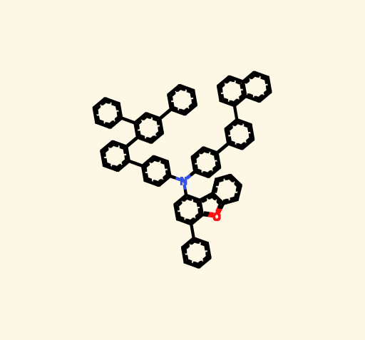 c1ccc(-c2ccc(-c3ccccc3-c3ccc(N(c4ccc(-c5cccc(-c6cccc7ccccc67)c5)cc4)c4ccc(-c5ccccc5)c5oc6ccccc6c45)cc3)c(-c3ccccc3)c2)cc1